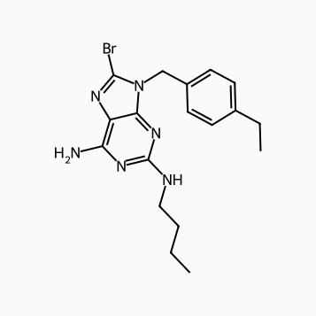 CCCCNc1nc(N)c2nc(Br)n(Cc3ccc(CC)cc3)c2n1